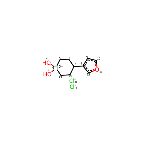 [Cl-].[Cl-].[OH][Ti+2]1([OH])[CH2]CC(c2ccoc2)C[CH2]1